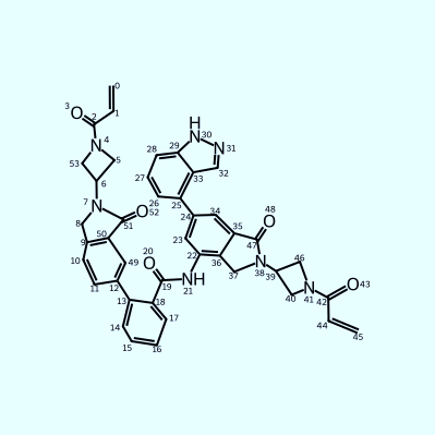 C=CC(=O)N1CC(N2Cc3ccc(-c4ccccc4C(=O)Nc4cc(-c5cccc6[nH]ncc56)cc5c4CN(C4CN(C(=O)C=C)C4)C5=O)cc3C2=O)C1